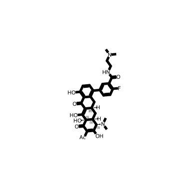 CC(=O)C1=C(O)[C@@H](N(C)C)[C@@H]2C[C@@H]3Cc4c(-c5ccc(F)c(C(=O)NCCN(C)C)c5)ccc(O)c4C(=O)C3=C(O)[C@]2(O)C1=O